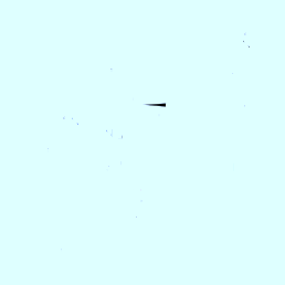 CC[C@]1(C(F)F)CN2CC[C@@H](c3cc(F)cc(C#N)c3)N2C1=O